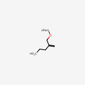 C=C(CCC(=O)O)COCCCCC